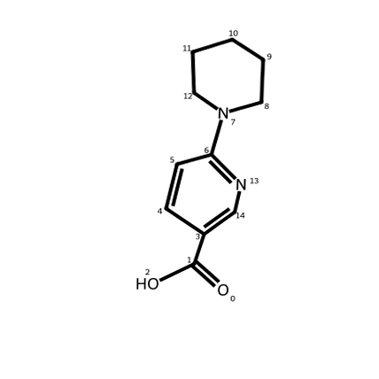 O=C(O)c1ccc(N2CCCCC2)nc1